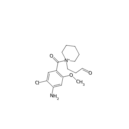 COc1cc(N)c(Cl)cc1C(=O)[N+]1(CCC=O)CCCCC1